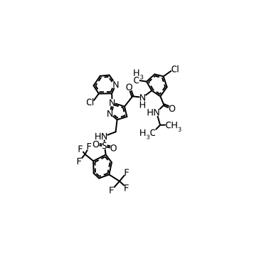 Cc1cc(Cl)cc(C(=O)NC(C)C)c1NC(=O)c1cc(CNS(=O)(=O)c2cc(C(F)(F)F)ccc2C(F)(F)F)nn1-c1ncccc1Cl